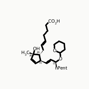 CCCCC[C@@H](C=C[C@H]1C=C[C@](C)(O)[C@@H]1CC=CCCCC(=O)O)OC1CCCCO1